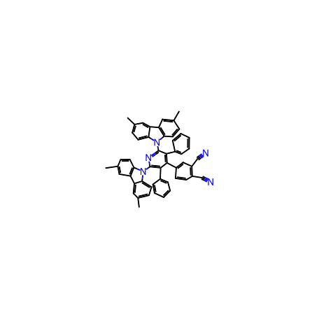 Cc1ccc2c(c1)c1cc(C)ccc1n2-c1nc(-n2c3ccc(C)cc3c3cc(C)ccc32)c(-c2ccccc2)c(-c2ccc(C#N)c(C#N)c2)c1-c1ccccc1